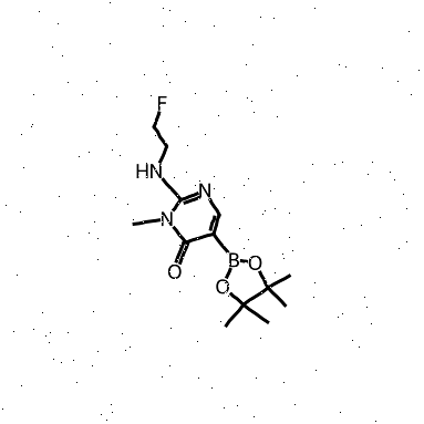 Cn1c(NCCF)ncc(B2OC(C)(C)C(C)(C)O2)c1=O